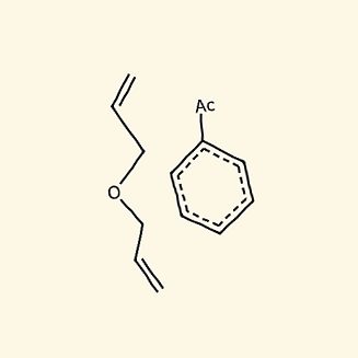 C=CCOCC=C.CC(=O)c1ccccc1